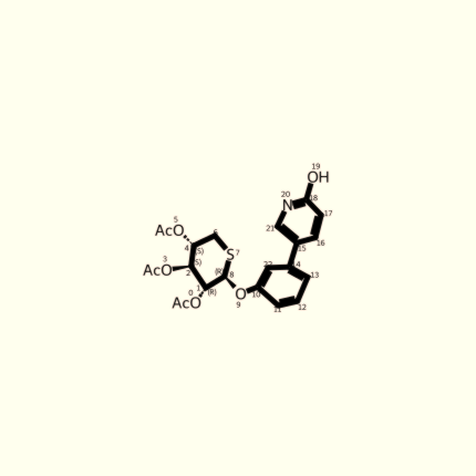 CC(=O)O[C@@H]1[C@@H](OC(C)=O)[C@H](OC(C)=O)CS[C@H]1Oc1cccc(-c2ccc(O)nc2)c1